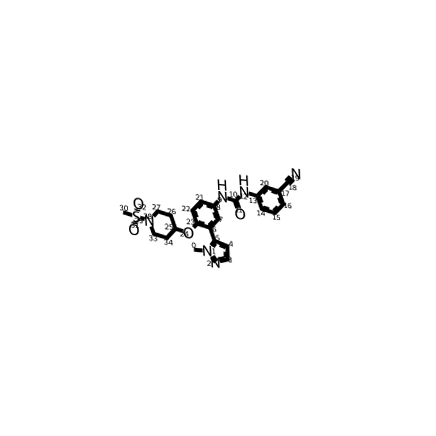 Cn1nccc1-c1cc(NC(=O)Nc2cccc(C#N)c2)ccc1OC1CCN(S(C)(=O)=O)CC1